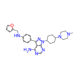 CN1CCN(C2CCC(n3nc(-c4ccc(NCc5ccco5)cc4)c4c(N)ncnc43)CC2)CC1